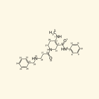 CNC1=C(C(=O)Nc2ccccc2)CN(C(=O)CCNCc2ccccc2)CC1